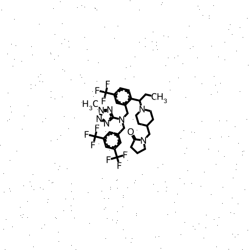 CCC(c1ccc(C(F)(F)F)cc1CN(Cc1cc(C(F)(F)F)cc(C(F)(F)F)c1)c1nnn(C)n1)N1CCC(CN2CCCC2=O)CC1